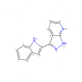 c1ccc2[nH]c(-c3n[nH]c4ncccc34)cc2c1